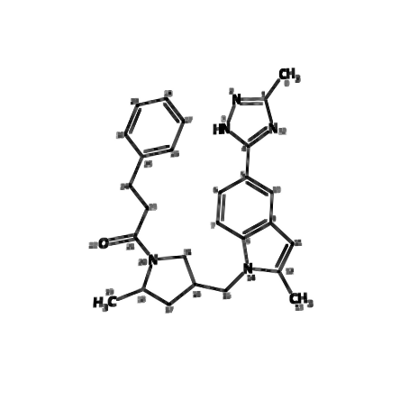 Cc1n[nH]c(-c2ccc3c(c2)cc(C)n3CC2CC(C)N(C(=O)CCc3ccccc3)C2)n1